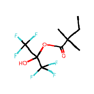 CCC(C)(C)C(=O)OC(O)(C(F)(F)F)C(F)(F)F